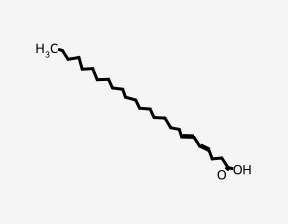 CCCCCCCCCCCCCCCCCCC=CC=CCCC(=O)O